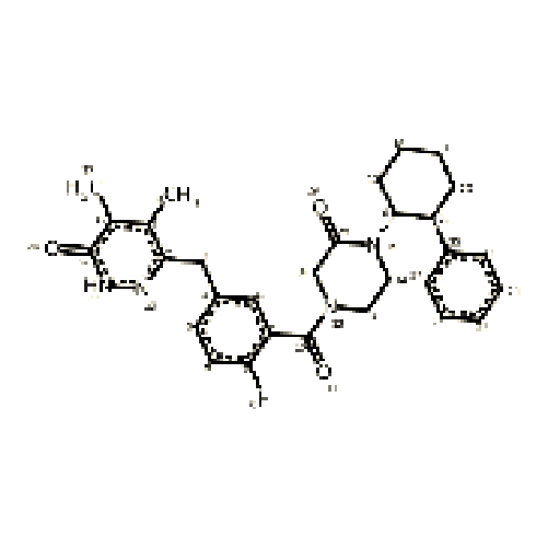 Cc1c(Cc2ccc(F)c(C(=O)N3CCN([C@@H]4CCCC[C@H]4c4ccccc4)C(=O)C3)c2)n[nH]c(=O)c1C